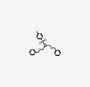 Cc1ccc(S(=O)(=O)[N@]2C(COCc3ccccc3)[C@@H]2COCc2ccccc2)cc1